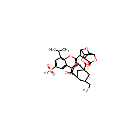 CCC1CC2CC(C(=O)OC3C4OC(=O)C5C4OC3C5C(=O)Oc3c(C(C)C)cc(S(=O)(=O)O)cc3C(C)C)(CCC2=O)C1